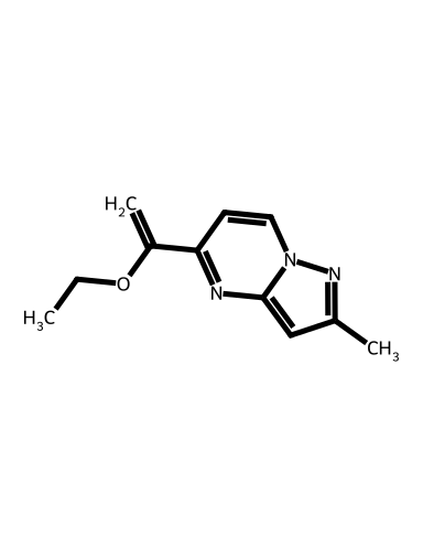 C=C(OCC)c1ccn2nc(C)cc2n1